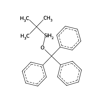 CC(C)(C)[SiH2]OC(c1ccccc1)(c1ccccc1)c1ccccc1